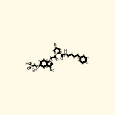 CC(=O)c1cn(CC(=O)N2C[C@H](F)C[C@H]2C(=O)NCCCCc2ccccc2)c2ccc(OCP(=O)(O)O)cc12